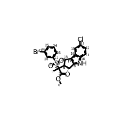 COC(=O)C(C)(C1Cc2[nH]c3ccc(Cl)cc3c2C1)S(=O)(=O)c1cccc(Br)c1